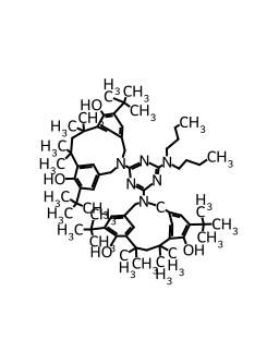 CCCCN(CCCC)c1nc(N2Cc3cc(C(C)(C)C)c(O)c(c3)C(C)(C)CC(C)(C)c3cc(cc(C(C)(C)C)c3O)C2)nc(N2Cc3cc(C(C)(C)C)c(O)c(c3)C(C)(C)CC(C)(C)c3cc(cc(C(C)(C)C)c3O)C2)n1